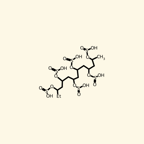 CCC(CC(CC(CC(CC(CC(C)OS(=O)O)OS(=O)O)OS(=O)O)OS(=O)O)OS(=O)O)OS(=O)O